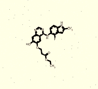 CCOC(=O)CCOc1cc2c(Nc3ccc4[nH]c(C)cc4c3F)ncnc2cc1O